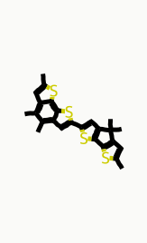 Cc1cc2c(s1)-c1sc(-c3cc4c(C)c(C)c5cc(C)sc5c4s3)cc1C2(C)C